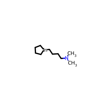 CN(C)CCC[CH2][In]1[CH2]CC[CH2]1